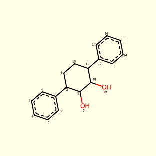 OC1C(c2ccccc2)CCC(c2ccccc2)C1O